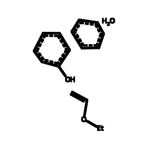 C=COCC.O.Oc1ccccc1.c1ccccc1